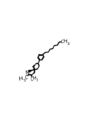 CCCCCCCCc1ccc(C2CCC(C#N)(CC(C)CC)CC2)cc1